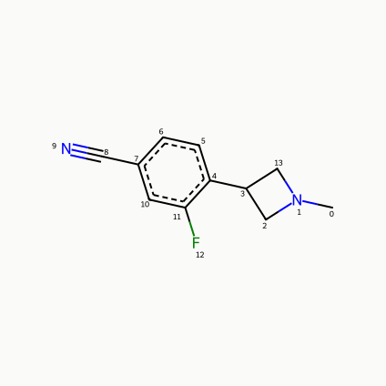 CN1CC(c2ccc(C#N)cc2F)C1